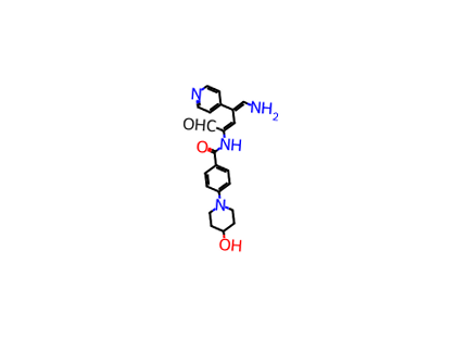 N/C=C(\C=C(/C=O)NC(=O)c1ccc(N2CCC(O)CC2)cc1)c1ccncc1